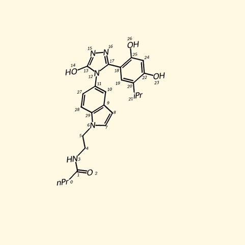 CCCC(=O)NCCn1ccc2cc(-n3c(O)nnc3-c3cc(C(C)C)c(O)cc3O)ccc21